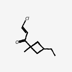 CCC1CC(C)(C(=O)/C=C/Cl)C1